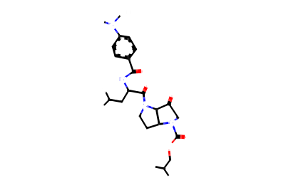 CC(C)COC(=O)N1CC(=O)C2C1CCN2C(=O)C(CC(C)C)NC(=O)c1ccc(N(C)C)cc1